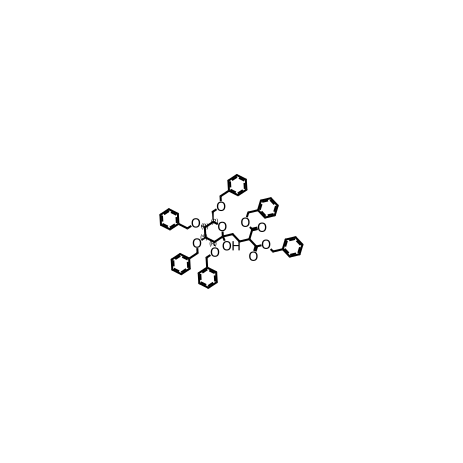 O=C(OCc1ccccc1)C(CCC1(O)O[C@H](COCc2ccccc2)[C@@H](OCc2ccccc2)[C@H](OCc2ccccc2)[C@H]1OCc1ccccc1)C(=O)OCc1ccccc1